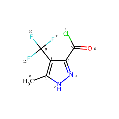 Cc1[nH]nc(C(=O)Cl)c1C(F)(F)F